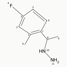 Cc1cc(F)ccc1C(C)NN